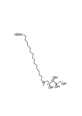 CCCCCCCCCCCCCCCCCCCCCCCCCCN(C)C[C@H](O)[C@@H](O)[C@H](O)CO